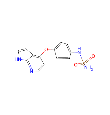 NS(=O)(=O)Nc1ccc(Oc2ccnc3[nH]ccc23)cc1